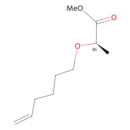 C=CCCCCO[C@H](C)C(=O)OC